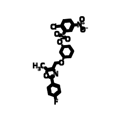 Cc1oc(-c2ccc(F)cc2)nc1CO[C@H]1CCC[C@@H](OS(=O)(=O)c2cc([N+](=O)[O-])ccc2Cl)C1